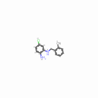 N#Cc1ccccc1CNc1cc(Cl)ccc1N